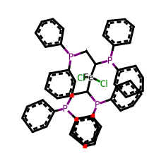 [Cl][Fe]([Cl])([CH]([CH]P(c1ccccc1)c1ccccc1)P(c1ccccc1)c1ccccc1)[CH]([CH]P(c1ccccc1)c1ccccc1)P(c1ccccc1)c1ccccc1